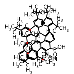 CC(C)(C)c1ccc(C2=C(P(O)O)C(P(O)O)c3ccc(-c4ccc(C(C)(C)C)cc4C(C)(C)C)c4c(-c5ccc(C(C)(C)C)cc5C(C)(C)C)c(-c5ccc(C(C)(C)C)cc5C(C)(C)C)c(-c5ccc6cccc7c6c5C=CC7)c2c34)c(C(C)(C)C)c1